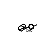 O=CC1(c2ccc(F)cc2)C2CC3CC(C2)CC1C3